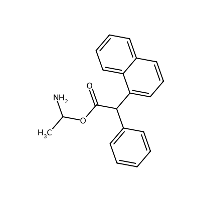 CC(N)OC(=O)C(c1ccccc1)c1cccc2ccccc12